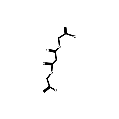 C=C(Cl)COC(=O)CC(=O)OCC(=C)Cl